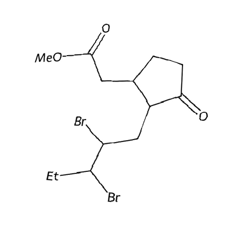 CCC(Br)C(Br)CC1C(=O)CCC1CC(=O)OC